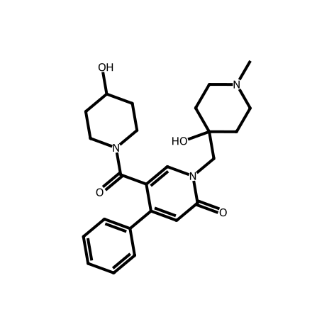 CN1CCC(O)(Cn2cc(C(=O)N3CCC(O)CC3)c(-c3ccccc3)cc2=O)CC1